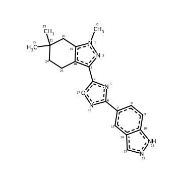 Cn1nc(-c2nc(-c3ccc4[nH]ncc4c3)no2)c2c1CC(C)(C)CC2